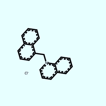 [Cl-].c1ccc2c(C[n+]3cccc4ccccc43)cccc2c1